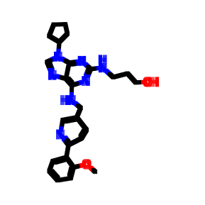 COc1ccccc1-c1ccc(CNc2nc(NCCCO)nc3c2ncn3C2CCCC2)cn1